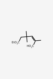 CCOC(=O)CC(C)(C)/C=C(/C)C(=O)O